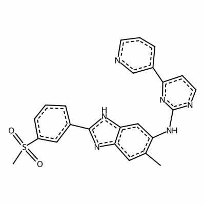 Cc1cc2nc(-c3cccc(S(C)(=O)=O)c3)[nH]c2cc1Nc1nccc(-c2cccnc2)n1